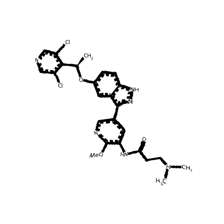 COc1ncc(-c2n[nH]c3ccc(O[C@H](C)c4c(Cl)cncc4Cl)cc23)cc1NC(=O)CCN(C)C